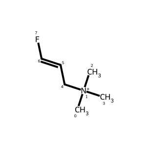 C[N+](C)(C)CC=CF